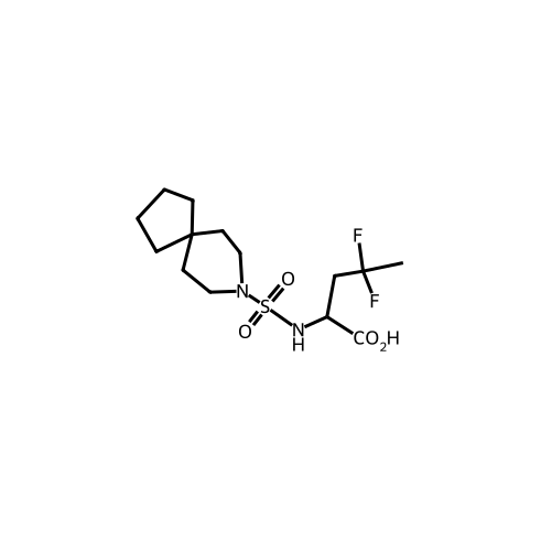 CC(F)(F)CC(NS(=O)(=O)N1CCC2(CCCC2)CC1)C(=O)O